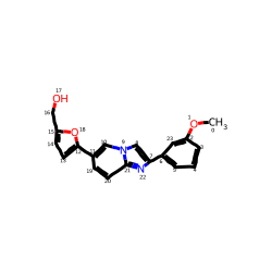 COc1cccc(-c2cn3cc(-c4ccc(CO)o4)ccc3n2)c1